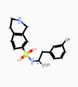 CCOC(=O)[C@H](Cc1cccc(C#N)c1)NS(=O)(=O)c1ccc2c(c1)CNCC2